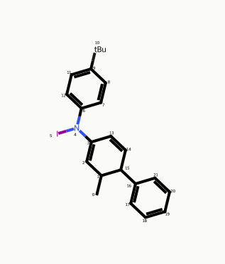 CC1C=C(N(I)c2ccc(C(C)(C)C)cc2)C=CC1c1ccccc1